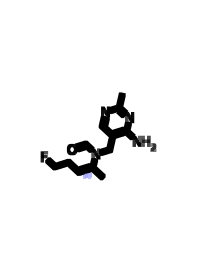 C/C(=C/CCF)N(C=O)Cc1cnc(C)nc1N